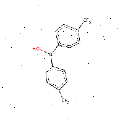 OB(c1ccc(C(F)(F)F)cc1)c1ccc(C(F)(F)F)cc1